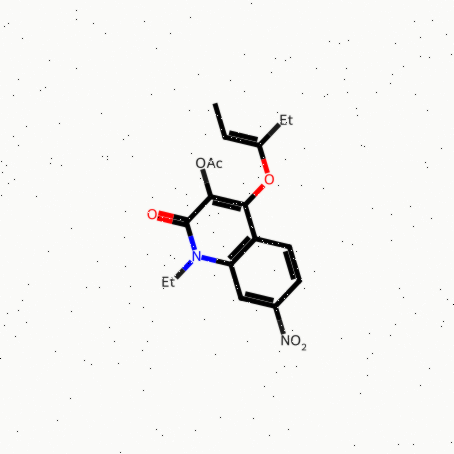 CC=C(CC)Oc1c(OC(C)=O)c(=O)n(CC)c2cc([N+](=O)[O-])ccc12